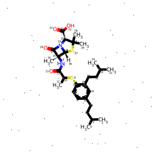 CC(C)CCc1ccc(SC(C)C(=O)N[C@@]2(C)C(=O)N3[C@@H](C(=O)O)C(C)(C)S[C@@H]32)c(CCC(C)C)c1